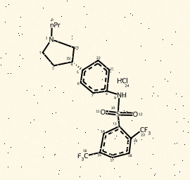 CCCN1CC[C@@H](c2ccc(NS(=O)(=O)c3cc(C(F)(F)F)ccc3C(F)(F)F)cc2)C1.Cl